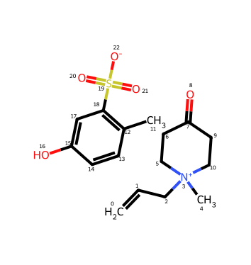 C=CC[N+]1(C)CCC(=O)CC1.Cc1ccc(O)cc1S(=O)(=O)[O-]